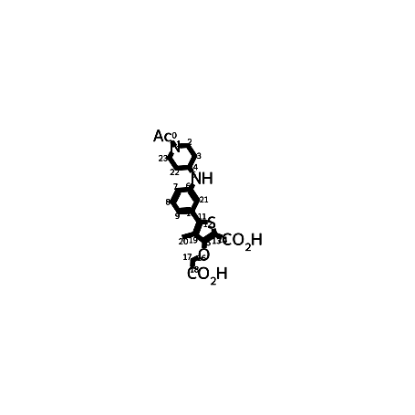 CC(=O)N1CCC(Nc2cccc(-c3sc(C(=O)O)c(OCC(=O)O)c3C)c2)CC1